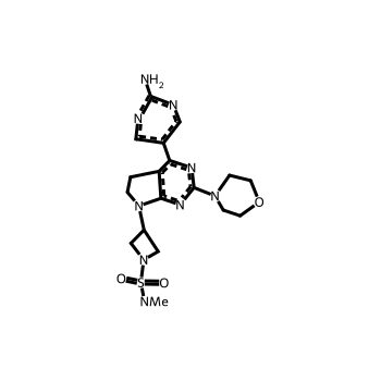 CNS(=O)(=O)N1CC(N2CCc3c(-c4cnc(N)nc4)nc(N4CCOCC4)nc32)C1